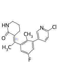 C/C(=C1/CCCNC1=O)c1cc(F)cc(-c2ccc(Cl)nc2)c1C